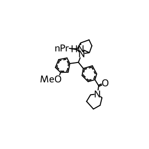 CCCC1C2CCC(N2)N1C(c1ccc(C(=O)N2CCCCC2)cc1)c1cccc(OC)c1